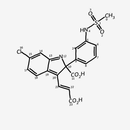 CS(=O)(=O)Nc1cccc(C2(C(=O)O)N=c3cc(Cl)ccc3=C2C=CC(=O)O)c1